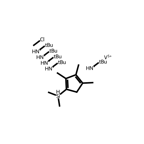 CC(C)(C)[NH-].CC(C)(C)[NH-].CC(C)(C)[NH-].CC(C)(C)[NH-].CC(C)(C)[NH-].CC1=C(C)C(C)=C([SiH](C)C)C1.CCl.[V+5]